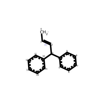 [CH2]/C=C/[C](c1ccccc1)c1ccccc1